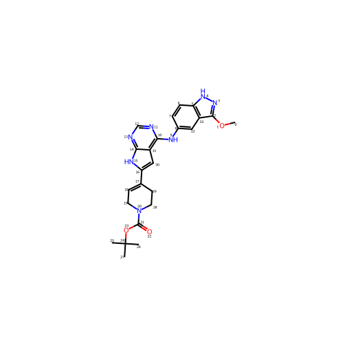 COc1n[nH]c2ccc(Nc3ncnc4[nH]c(C5=CCN(C(=O)OC(C)(C)C)CC5)cc34)cc12